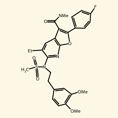 CCc1cc2c(C(=O)NC)c(-c3ccc(F)cc3)oc2nc1N(CCc1ccc(OC)c(OC)c1)S(C)(=O)=O